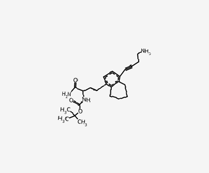 CC(C)(C)OC(=O)NC(CCc1ccc(C#CCCN)c2c1CCCC2)C(N)=O